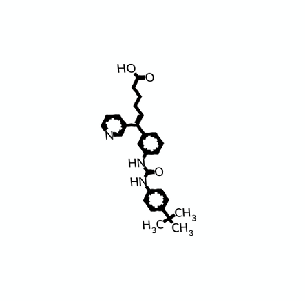 CC(C)(C)c1ccc(NC(=O)Nc2cccc(C(=CCCCC(=O)O)c3cccnc3)c2)cc1